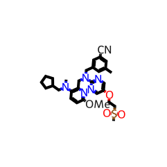 COc1ccc(N(C)CC2CCCC2)c(CN(Cc2cc(C)cc(C#N)c2)c2ncc(OCCS(C)(=O)=O)cn2)n1